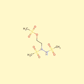 CS(=O)(=O)NN(CCOS(C)(=O)=O)S(C)(=O)=O